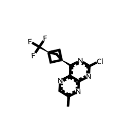 Cc1cnc2c(n1)nc(Cl)nc2[C@]12C[C@](C(F)(F)F)(C1)C2